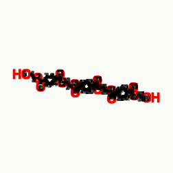 O=C(OCCO)c1ccc(C(=O)OCCOC(=O)c2ccc(C(=O)OCCOC(=O)c3ccc(C(=O)OCCO)cc3)cc2)cc1